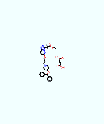 CCOC(=O)C(C)(C)c1nnc2ccc(OCCCN3CCC(OC(c4ccccc4)c4ccccc4)CC3)nn12.O=C(O)C=CC(=O)O